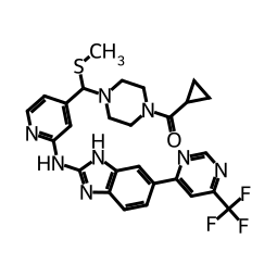 CSC(c1ccnc(Nc2nc3ccc(-c4cc(C(F)(F)F)ncn4)cc3[nH]2)c1)N1CCN(C(=O)C2CC2)CC1